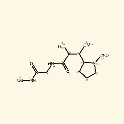 COC(C(C)C(=O)NCC(=O)NC(C)(C)C)C1CCCN1C=O